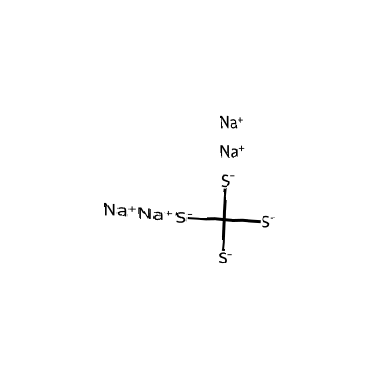 [Na+].[Na+].[Na+].[Na+].[S-]C([S-])([S-])[S-]